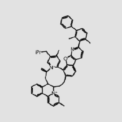 C=C1CC2c3ccccc3-c3ccc(C)c[n+]3C2CCc2ccc3c(oc4nc(-c5c(C)ccc(-c6ccccc6)c5C)ccc43)c2-c2cc(C)c(CC(C)C)c[n+]21